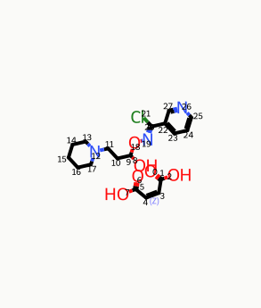 O=C(O)/C=C\C(=O)O.OC(CCN1CCCCC1)ON=C(Cl)c1cccnc1